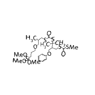 CO[Si](CCCOCC(C)CSC(=O)SC(C)(C)C(COc1ccccc1)CSC(=O)SC)(OC)OC